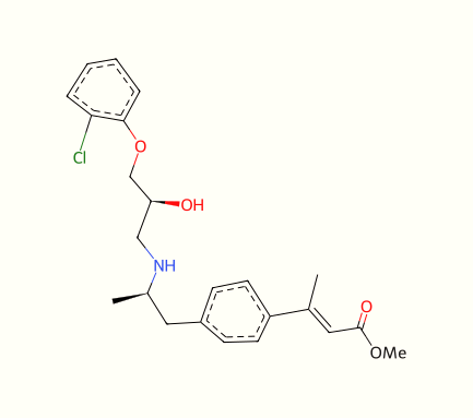 COC(=O)/C=C(\C)c1ccc(C[C@@H](C)NC[C@H](O)COc2ccccc2Cl)cc1